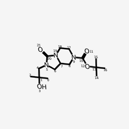 CC(C)(O)CN1CC2CN(C(=O)OC(C)(C)C)CCN2C1=O